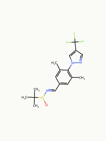 Cc1cc(/C=N/[S+]([O-])C(C)(C)C)cc(C)c1-n1cc(C(F)(F)F)cn1